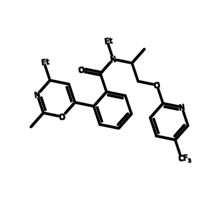 CCC1C=C(c2ccccc2C(=O)N(CC)C(C)COc2ccc(C(F)(F)F)cn2)OC(C)=N1